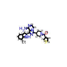 CCc1cccc2cc(-c3nc(C4CCN(C(=O)c5ccsc5)CC4)n4ccnc(N)c34)[nH]c12